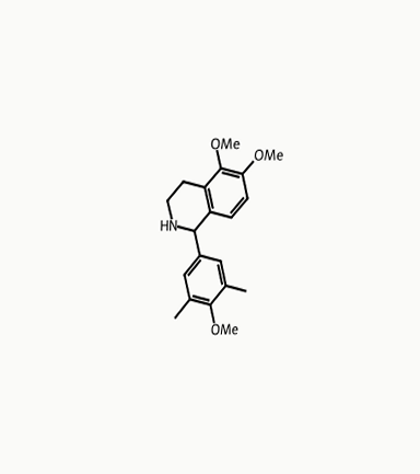 COc1ccc2c(c1OC)CCNC2c1cc(C)c(OC)c(C)c1